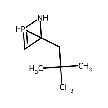 CC(C)(C)CC12C=[PH]1N2